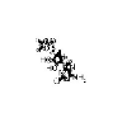 CCOP(=O)(OCC)SC[C@]12C[C@@H]1[C@@H](n1cnc3c(N)nc(Cl)nc31)[C@H](O)[C@@H]2O